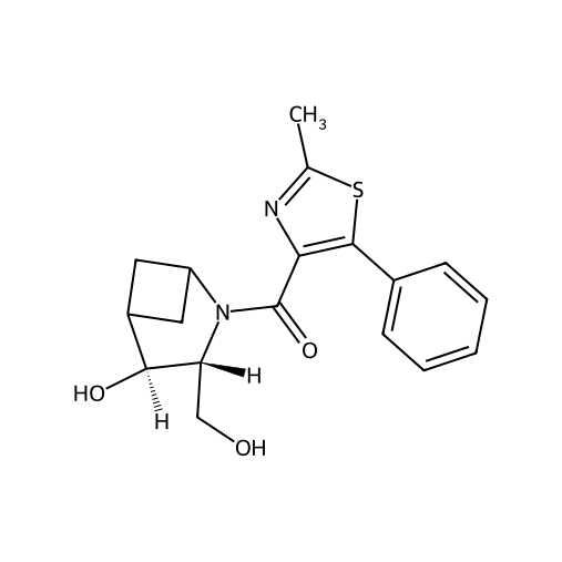 Cc1nc(C(=O)N2C3CC(C3)[C@H](O)[C@H]2CO)c(-c2ccccc2)s1